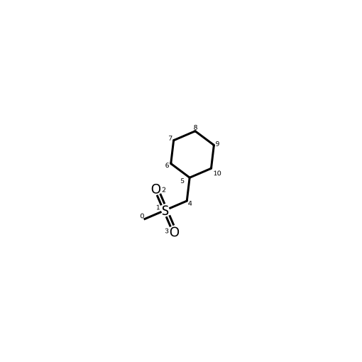 CS(=O)(=O)CC1CCCCC1